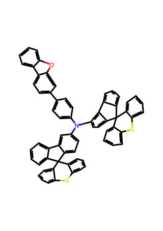 c1ccc2c(c1)Sc1ccccc1C21c2ccccc2-c2cc(N(c3ccc(-c4ccc5c(c4)oc4ccccc45)cc3)c3ccc4c(c3)-c3ccccc3C43c4ccccc4Sc4ccccc43)ccc21